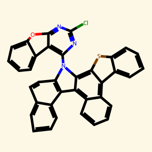 Clc1nc(-n2c3ccc4ccccc4c3c3c4ccccc4c4c5ccccc5sc4c32)c2c(n1)oc1ccccc12